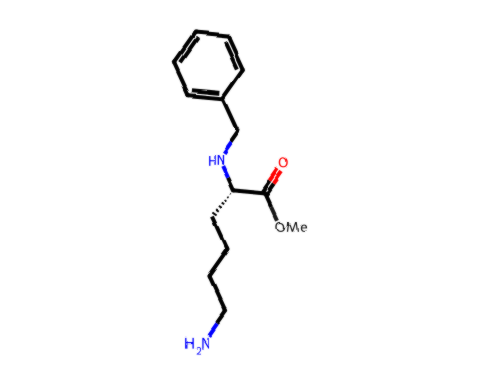 COC(=O)[C@H](CCCCN)NCc1ccccc1